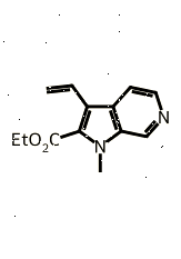 C=Cc1c(C(=O)OCC)n(C)c2cnccc12